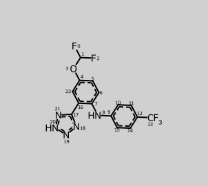 FC(F)Oc1ccc(Nc2ccc(C(F)(F)F)cc2)c(-c2nn[nH]n2)c1